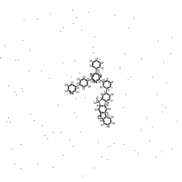 CC1(C)c2cc(-c3cccc(-c4nc(-c5ccccc5)nc(-c5ccc(-c6cccnc6)cc5)n4)c3)ccc2-c2cc3c(cc21)oc1ccccc13